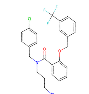 NCCCN(Cc1ccc(Cl)cc1)C(=O)c1ccccc1OCc1cccc(C(F)(F)F)c1